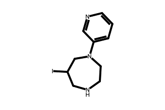 IC1CNCCN(c2cccnc2)C1